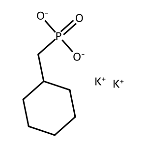 O=P([O-])([O-])CC1CCCCC1.[K+].[K+]